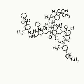 Cc1cc(-c2ccn(C)n2)ccc1Nc1ncc2cc(Cl)c(=O)n(C(C)Cc3c(Cl)c(=O)n(C(C)Cc4cc5cnc(Nc6ccc(S(=O)(=O)N7CCCCC7)cc6C)nc5n(C5CCCC5)c4=O)c4nc(Nc5ccc(C(C)(C)O)cc5C)ncc34)c2n1